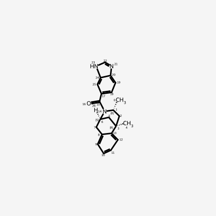 C[C@@H]1C[C@]2(C)C[C@@H](Cc3ccccc32)N1C(=O)c1ccc2nc[nH]c2c1